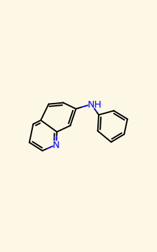 c1ccc(Nc2ccc3cccnc3c2)cc1